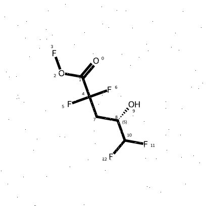 O=C(OF)C(F)(F)C[C@H](O)C(F)F